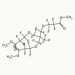 COC(=O)C(F)(F)C(F)(F)OC(F)(F)C(C(F)(F)F)(C(F)(F)OC(F)(F)C(F)(F)C(=O)OC)C(F)(F)OC(F)(F)C(F)(F)C(=O)OC